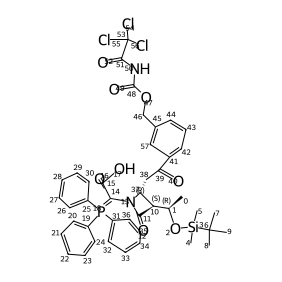 C[C@@H](O[Si](C)(C)C(C)(C)C)[C@H]1C(=O)N(C(C(=O)O)=P(c2ccccc2)(c2ccccc2)c2ccccc2)[C@@H]1CC(=O)c1cccc(COC(=O)NC(=O)C(Cl)(Cl)Cl)c1